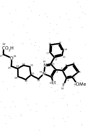 CCc1c(-c2cccc(OC)c2F)c(-c2ccccc2)nn1CC1CCC(COCC(=O)O)CC1